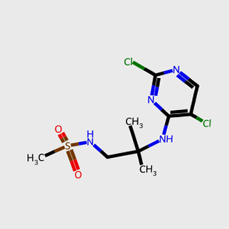 CC(C)(CNS(C)(=O)=O)Nc1nc(Cl)ncc1Cl